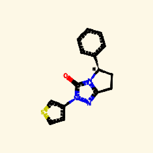 O=c1n(-c2ccsc2)nc2n1[C@H](c1ccccc1)CC2